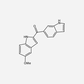 COc1ccc2[nH]c(C(=O)c3ccc4cc[nH]c4c3)cc2c1